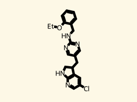 CCOc1ccccc1CNc1ncc(CC2CNc3ncc(Cl)cc32)cn1